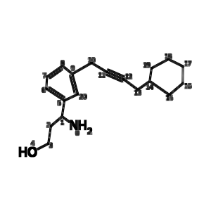 NC(CCO)c1cccc(CC#CCC2CCCCC2)c1